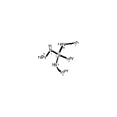 CCCN[Si](CCC)(NCCC)NCCC